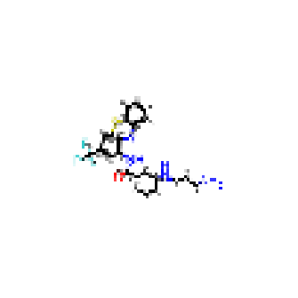 NCCCNC1CCCC(C(=O)Nc2cc(C(F)(F)F)cc3c2Nc2ccccc2S3)C1